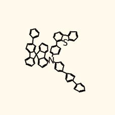 c1ccc(-c2ccc(-c3ccc(N(c4ccc(-c5cccc6c5sc5ccccc56)cc4)c4cccc5c4-c4ccccc4C54c5ccccc5-c5ccc(-c6ccccc6)cc54)cc3)cc2)cc1